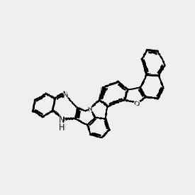 C1=CC2=Nc3c(c4cccc5c6c7oc8ccc9ccccc9c8c7ccc6n3c45)NC2C=C1